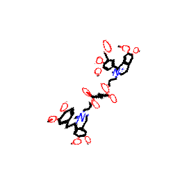 COc1ccc(CC2c3cc(OC)c(OC)cc3CC[N+]2(C)CCCOC(=O)C#CC(=O)OCCC[N+]2(C)CCc3cc(OC)c(OC)cc3C2c2cc(C=O)c(OC)c(OC)c2)cc1OC